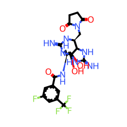 N=C1NC2[C@H](CN3C(=O)CCC3=O)NC(=N)N3C[C@H](NC(=O)c4cc(F)cc(C(F)(F)F)c4)C(O)(O)C23N1